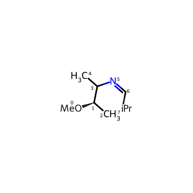 CO[C@H](C)C(C)/N=C\C(C)C